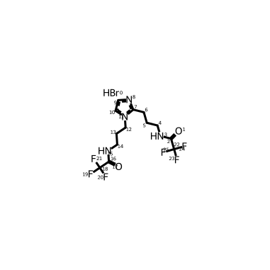 Br.O=C(NCCCc1nccn1CCCNC(=O)C(F)(F)F)C(F)(F)F